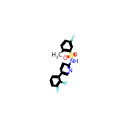 Cc1ccc(F)cc1S(=O)(=O)Nc1ccc(-c2cccc(F)c2F)cn1